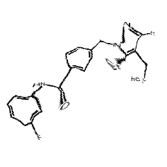 CCc1nn(Cc2ccc(C(=O)Nc3cccc(F)c3)cc2)c(CC)c1CC(=O)O